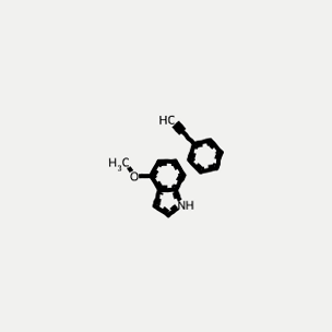 C#Cc1ccccc1.COc1cccc2[nH]ccc12